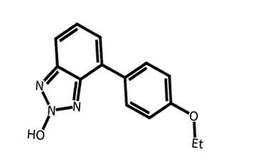 CCOc1ccc(-c2cccc3nn(O)nc23)cc1